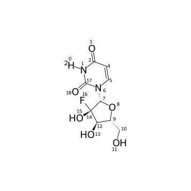 [2H]n1c(=O)ccn([C@@H]2O[C@H](CO)[C@@H](O)[C@]2(O)F)c1=O